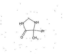 CC(C)C1(C)N[C]NC1=O